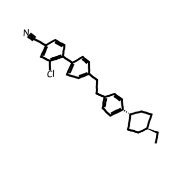 CC[C@H]1CC[C@H](c2ccc(CCc3ccc(-c4ccc(C#N)cc4Cl)cc3)cc2)CC1